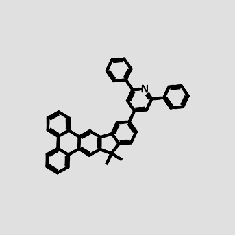 CC1(C)c2ccc(-c3cc(-c4ccccc4)nc(-c4ccccc4)c3)cc2-c2cc3c4ccccc4c4ccccc4c3cc21